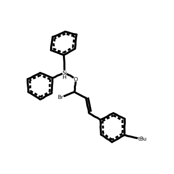 CC(C)(C)c1ccc(C=CC(Br)O[SiH](c2ccccc2)c2ccccc2)cc1